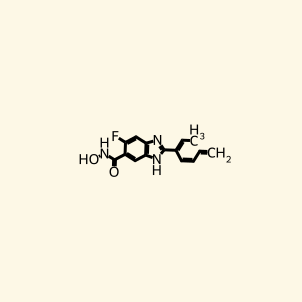 C=C/C=C\C(=C/C)c1nc2cc(F)c(C(=O)NO)cc2[nH]1